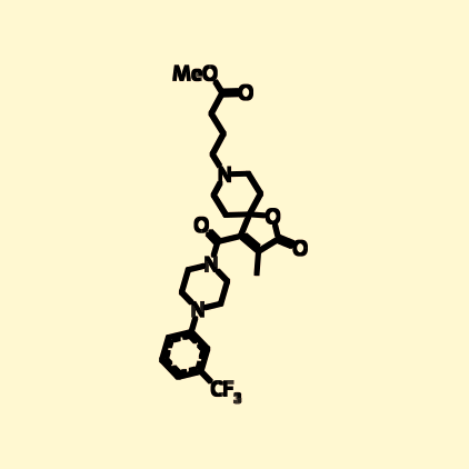 COC(=O)CCCN1CCC2(CC1)OC(=O)C(C)=C2C(=O)N1CCN(c2cccc(C(F)(F)F)c2)CC1